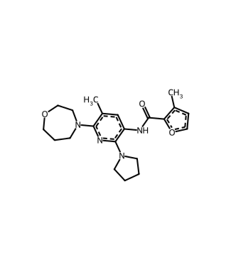 Cc1cc(NC(=O)c2occc2C)c(N2CCCC2)nc1N1CCCOCC1